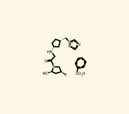 N#C[C@@H]1C[C@H](F)CN1C(=O)CN[C@@H]1CC[C@H](Cn2cncn2)C1.O=S(=O)(O)c1ccccc1